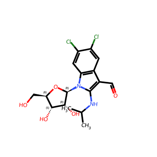 CC(C)Nc1c(C=O)c2cc(Cl)c(Cl)cc2n1[C@@H]1O[C@H](CO)[C@@H](O)[C@H]1O